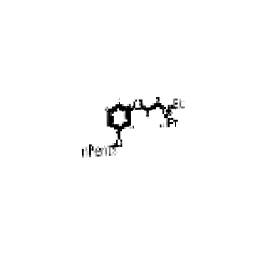 CCCCCOc1cccc(OCCN(CC)C(C)C)c1